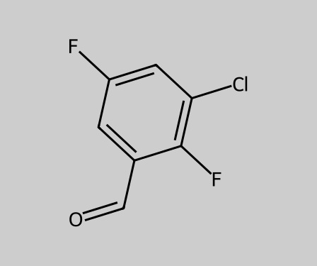 O=Cc1cc(F)cc(Cl)c1F